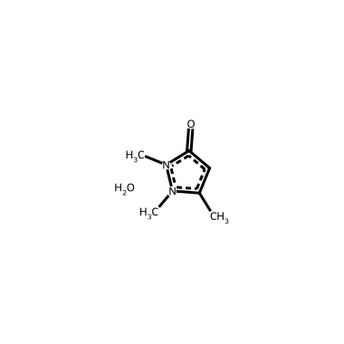 Cc1cc(=O)n(C)n1C.O